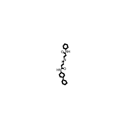 O=C(C=CN=NC=CC(=O)Nc1ccc(-c2ccccc2)cc1)Nc1ccccc1